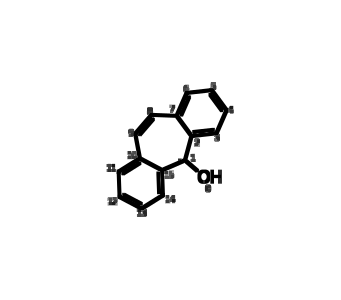 O[C]1c2ccccc2C=Cc2ccccc21